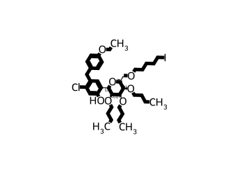 CCCCO[C@@H]1[C@@H](OCCCC)[C@H](c2cc(Cc3ccc(OCC)cc3)c(Cl)cc2O)O[C@H](COCCCCCI)[C@H]1OCCCC